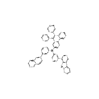 c1ccc(-c2c(-c3ccccc3)c3cc(N(c4cccc(-c5ccc6ccccc6c5)c4)c4cccc(-c5cccc6c5sc5ccccc56)c4)ccc3c3ccccc23)cc1